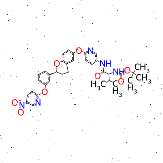 CC(C)C(NC(=O)OC(C)(C)C)C(=O)Nc1ccc(Oc2ccc3c(c2)CC[C@@H](c2cccc(Oc4ccc([N+](=O)[O-])cn4)c2)O3)nc1